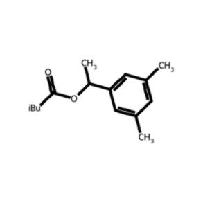 CCC(C)C(=O)OC(C)c1cc(C)cc(C)c1